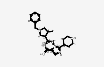 CC1CN(Cc2ccccc2)CC1c1nn2c(C3CCOCC3)ncc2c(=O)[nH]1